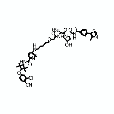 Cc1ncsc1-c1ccc([C@H](C)NC(=O)[C@@H]2C[C@@H](O)CN2C(=O)[C@@H](NC(=O)COCCCCCNc2ccc(C(=O)NC3C(C)(C)C(Oc4ccc(C#N)c(Cl)c4)C3(C)C)nn2)C(C)(C)C)cc1